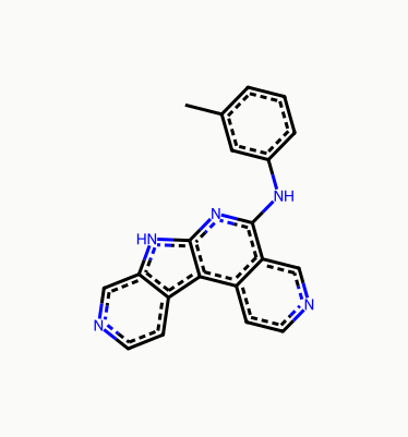 Cc1cccc(Nc2nc3[nH]c4cnccc4c3c3ccncc23)c1